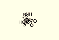 CCOC(=O)[C@H](Cc1cnc[nH]1)Nc1nc(C(=O)O)cc2c3ccccc3n(Cc3ccccc3)c12